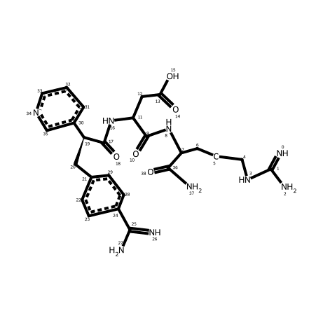 N=C(N)NCCCC(NC(=O)C(CC(=O)O)NC(=O)[C@@H](Cc1ccc(C(=N)N)cc1)c1cccnc1)C(N)=O